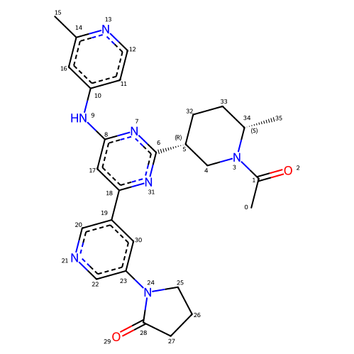 CC(=O)N1C[C@H](c2nc(Nc3ccnc(C)c3)cc(-c3cncc(N4CCCC4=O)c3)n2)CC[C@@H]1C